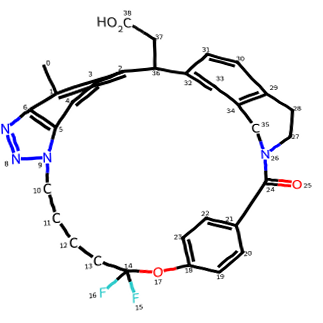 Cc1c2ccc3c1nnn3CCCCC(F)(F)Oc1ccc(cc1)C(=O)N1CCc3ccc(cc3C1)C2CC(=O)O